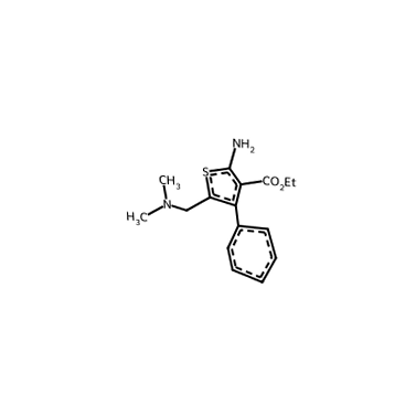 CCOC(=O)c1c(N)sc(CN(C)C)c1-c1ccccc1